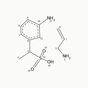 C=CCN.CC(c1cccc(N)c1)S(=O)(=O)O